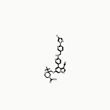 CC(C)(C)C1(COc2cc(-c3ccc(NCc4ccc(-n5cc(F)cn5)nc4)nc3)c3c(C#N)cnn3c2)CN(C(=O)O)CCO1